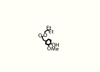 CCC(CC)COC(=O)Cc1ccc(O)c(OC)c1